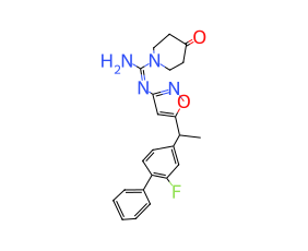 CC(c1ccc(-c2ccccc2)c(F)c1)c1cc(/N=C(/N)N2CCC(=O)CC2)no1